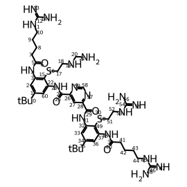 CC(C)(C)c1cc(NC(=O)CCCCNC(=N)N)c(SCCNCN)c(NC(=O)c2cc(C(=O)Nc3cc(C(C)(C)C)cc(NC(=O)CCCCNC(=N)N)c3SCCNC(=N)N)ncn2)c1